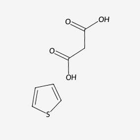 O=C(O)CC(=O)O.c1ccsc1